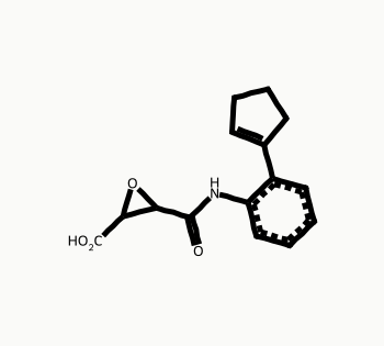 O=C(O)C1OC1C(=O)Nc1ccccc1C1=CCCC1